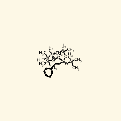 C[Si](C)(C)O[Si](C=Cc1ccccc1)(O[Si](C)(C)C)O[Si]1(C)[Si](C)(C)[Si](C)(C)[Si]1(C)C